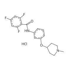 CN1CCC(Oc2cccc(NC(=O)c3c(F)cc(F)cc3F)c2)CC1.Cl